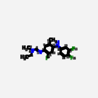 CCN(C)C=Nc1cc(C)c(Nc2ccc(F)c(F)c2)cc1F